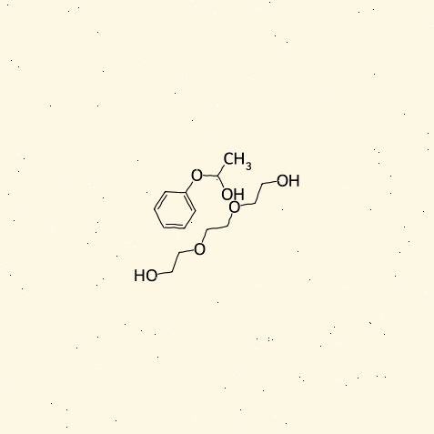 CC(O)Oc1ccccc1.OCCOCCOCCO